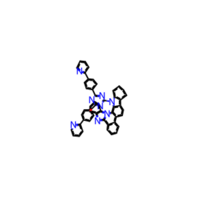 c1ccc(-c2ccc(-c3nc(-c4ccc(-c5ccccn5)cc4)nc(-n4c5ccccc5c5ccc6c7ccccc7c7nc8ccccc8n7c6c54)n3)cc2)nc1